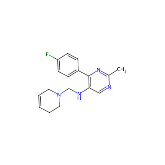 Cc1ncc(NCN2CC=CCC2)c(-c2ccc(F)cc2)n1